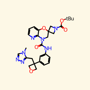 Cn1cnnc1CC1(c2cccc(NC(=O)N3CC4(CN(C(=O)OC(C)(C)C)C4)Oc4cccnc43)c2)COC1